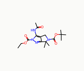 CCOC(=O)n1nc2c(c1NC(C)=O)CN(C(=O)OC(C)(C)C)C2(C)C